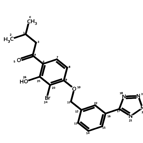 CC(C)CC(=O)c1ccc(OCc2cccc(-c3nn[nH]n3)c2)c(Br)c1O